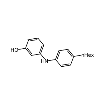 CCCCCCc1ccc(Nc2cc[c]c(O)c2)cc1